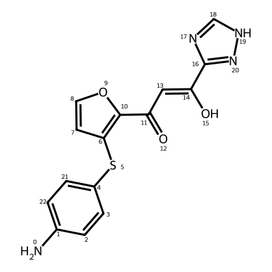 Nc1ccc(Sc2ccoc2C(=O)C=C(O)c2nc[nH]n2)cc1